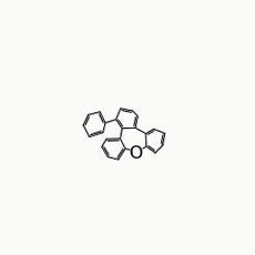 c1ccc(-c2cccc3c2-c2ccccc2Oc2ccccc2-3)cc1